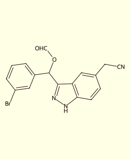 N#CCc1ccc2[nH]nc(C(OC=O)c3cccc(Br)c3)c2c1